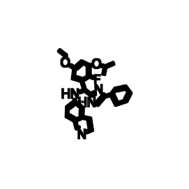 CCOc1cc(OC(C)C)c(F)c(C(Nc2ccc3cnccc3c2)c2nc(-c3ccccc3)c[nH]2)c1